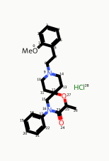 COc1ccccc1CCN1CCC2(CC1)CN(c1ccccc1)C(=O)C(C)O2.Cl